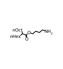 CCCCCCCCC(CCCCCC)C(=O)OCCCCN